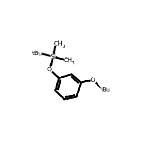 CC[C@H](C)Oc1cccc(O[Si](C)(C)C(C)(C)C)c1